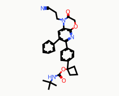 CC(C)(C)NC(=O)OC1(c2ccc(-c3nc4c(cc3-c3ccccc3)N(CCC#N)C(=O)CO4)cc2)CCC1